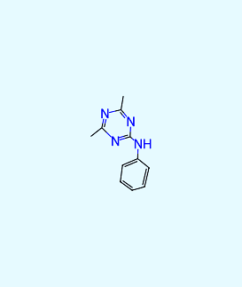 Cc1nc(C)nc(Nc2ccccc2)n1